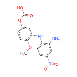 COc1ccc(OC(=O)O)cc1Nc1ccc([N+](=O)[O-])cc1N